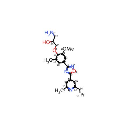 COc1cc(-c2noc(-c3cc(C)nc(CC(C)C)c3)n2)cc(C)c1OCC(O)CN